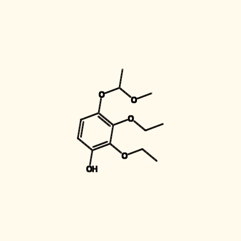 CCOc1c(O)ccc(OC(C)OC)c1OCC